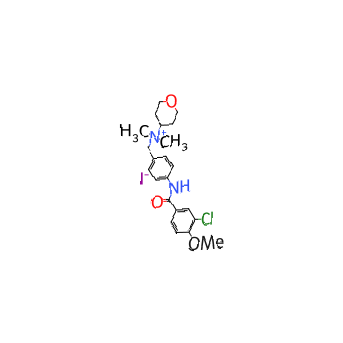 COc1ccc(C(=O)Nc2ccc(C[N+](C)(C)C3CCOCC3)cc2)cc1Cl.[I-]